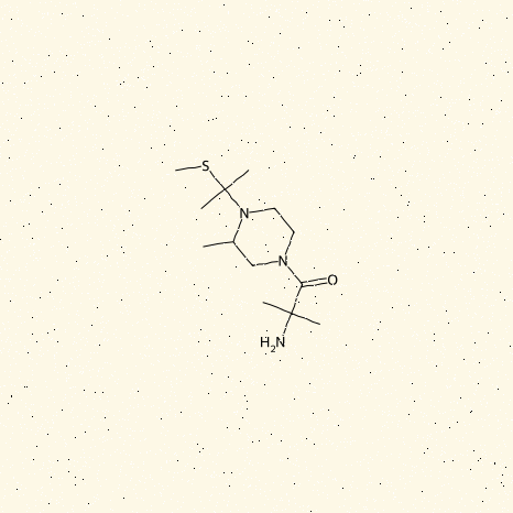 CSC(C)(C)N1CCN(C(=O)C(C)(C)N)CC1C